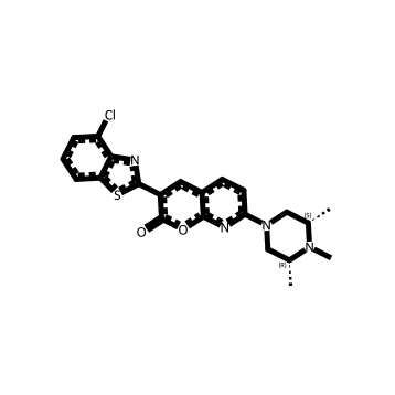 C[C@@H]1CN(c2ccc3cc(-c4nc5c(Cl)cccc5s4)c(=O)oc3n2)C[C@H](C)N1C